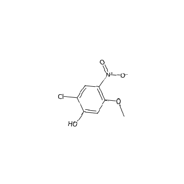 COc1cc(O)c(Cl)cc1[N+](=O)[O-]